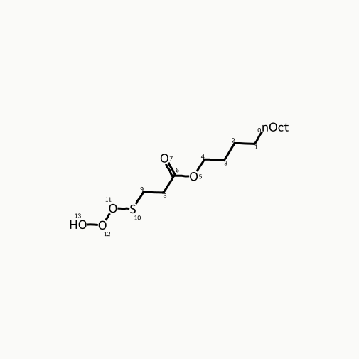 CCCCCCCCCCCCOC(=O)CCSOOO